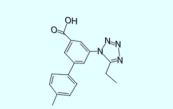 CCc1nnnn1-c1cc(C(=O)O)cc(-c2ccc(C)cc2)c1